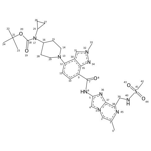 Cc1cn2cc(NC(=O)c3ccc(N4CCC(N(C(=O)OC(C)(C)C)C5CC5)CC4)c4cn(C)nc34)nc2c(CNS(C)(=O)=O)n1